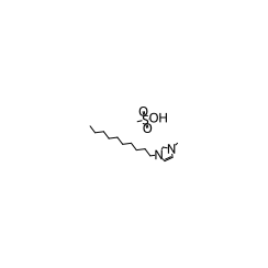 CCCCCCCCCCN1C=CN(C)C1.CS(=O)(=O)O